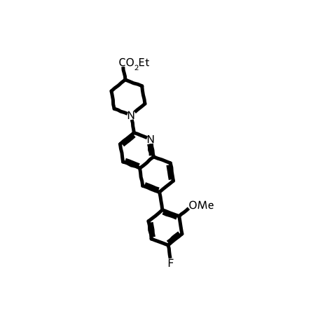 CCOC(=O)C1CCN(c2ccc3cc(-c4ccc(F)cc4OC)ccc3n2)CC1